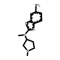 CN1CCC(N(C)c2nc3ccc(N)cc3s2)C1